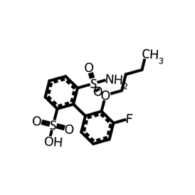 CCCCOc1c(F)cccc1-c1c(S(N)(=O)=O)cccc1S(=O)(=O)O